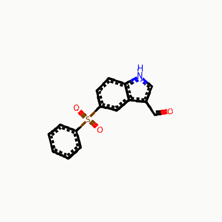 O=Cc1c[nH]c2ccc(S(=O)(=O)c3ccccc3)cc12